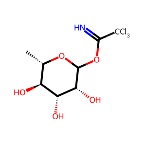 C[C@@H]1OC(OC(=N)C(Cl)(Cl)Cl)[C@H](O)[C@H](O)[C@H]1O